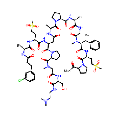 CC[C@H](C)[C@H](NC(=O)[C@@H](NC(=O)[C@@H]1CCCN1C(=O)[C@H](C)NC(=O)C[C@H](NC(=O)[C@H](CCS(C)(=O)=O)NC(=O)[C@@H](NC(=O)CCc1cccc(Cl)c1)C(C)C)C(=O)N1CCC[C@H]1C(=O)N(C)CC(=O)N[C@@H](CO)C(=O)NCCN(C)C)C(C)C)C(=O)N(C)[C@@H](Cc1ccccc1)C(=O)N[C@@H](CCS(C)(=O)=O)C(=O)N1CCCC1C(=O)NC